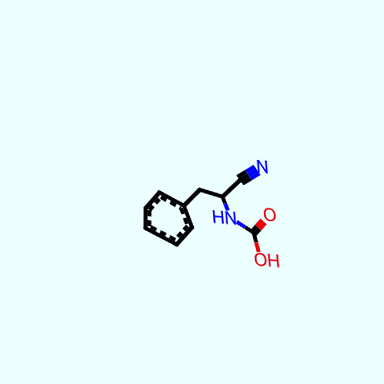 N#CC(Cc1ccccc1)NC(=O)O